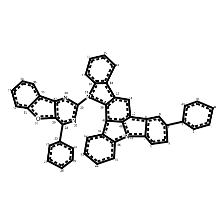 c1ccc(-c2ccc3c(c2)c2cc4c5ccccc5n(-c5nc(-c6ccccc6)c6oc7ccccc7c6n5)c4c4c5ccccc5n3c24)cc1